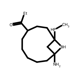 CCC(=O)C1CCCCCC2(N)BC(PC)(CC1)C2